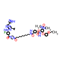 CCCOc1cccc(Oc2cc3c(cc2NS(=O)(=O)c2cccc(C(=O)NCCCCCCCCCCC(=O)N4CCN(C(=O)c5ccc(Nc6nc(C7CC7)cn7c(-c8cn[nH]c8)cnc67)c(F)c5)CC4)c2)n(C)c(=O)n3C)c1